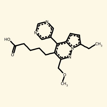 CCc1ccc2c(-c3cncnc3)c(CCCCC(=O)O)c(COC)nn12